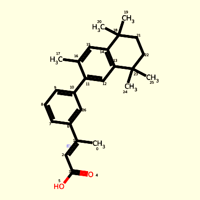 C/C(=C\C(=O)O)c1cccc(-c2cc3c(cc2C)C(C)(C)CCC3(C)C)c1